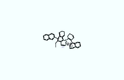 N/C=C\c1c(CI)c(-c2ccc3ccccc3c2)c2c(c1SC1=C(c3cccc4ccccc34)C=CCC1)=CCCC=2